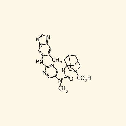 Cc1cc2ncnn2cc1Nc1ncc2c(n1)n(C13CC4CC(CC(C(=O)O)(C4)C1)C3)c(=O)n2C